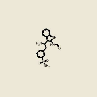 NC(Cc1cccc(S(N)(=O)=O)c1)c1c(NC=O)[nH]c2ccccc12